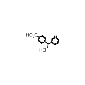 CC(c1ccc(C(=O)O)cc1)c1cccnc1.Cl